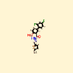 CCc1ccc(C=NNC(=O)c2cc(-c3ccc(F)cc3F)ccc2O)s1